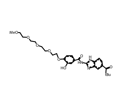 COCCOCCOCCOCCOc1ccc(C(=O)Nc2nc3cc(C(=O)C(C)(C)C)ccc3[nH]2)cc1O